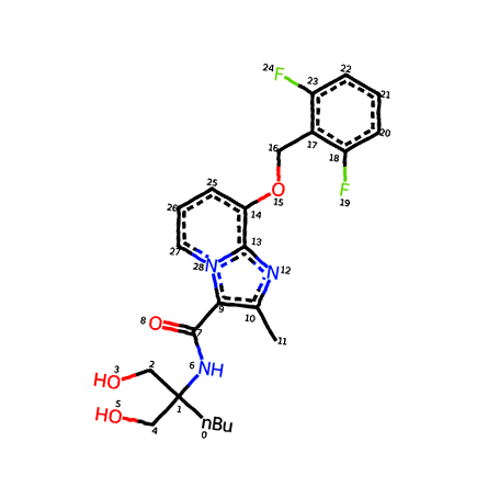 CCCCC(CO)(CO)NC(=O)c1c(C)nc2c(OCc3c(F)cccc3F)cccn12